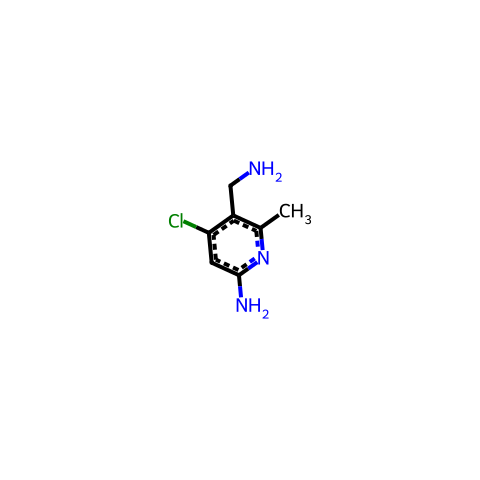 Cc1nc(N)cc(Cl)c1CN